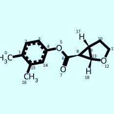 Cc1ccc(OC(=O)[C@H]2[C@@H]3CCO[C@@H]32)cc1C